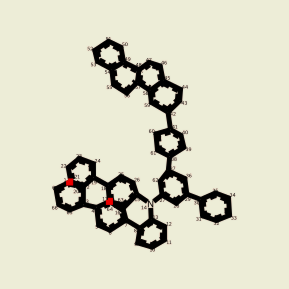 c1ccc(-c2ccc(-c3ccccc3N(c3ccc(-c4ccccc4)cc3)c3cc(-c4ccccc4)cc(-c4ccc(-c5ccc6ccc7c8ccccc8ccc7c6c5)cc4)c3)cc2)cc1